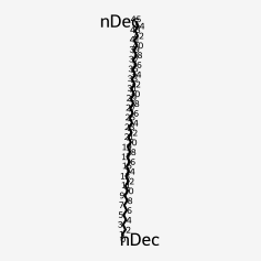 [CH2]CCCCCCCCCCCCCCCCCCCCCCCCCCCCCCCCCCCCCCCCCCCCCCCCCCCCCCCCCCCCCCC